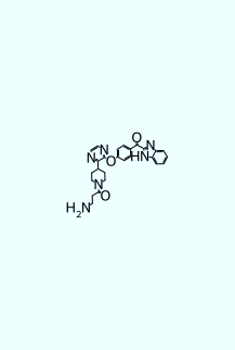 NCCC(=O)N1CCC(c2nccnc2Oc2ccc(C(=O)c3nc4ccccc4[nH]3)cc2)CC1